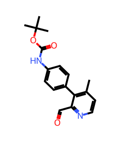 Cc1ccnc(C=O)c1-c1ccc(NC(=O)OC(C)(C)C)cc1